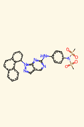 CS(=O)(=O)N(c1ccc(Nc2ncc3cnn(-c4cccc5ccc6ccccc6c45)c3n2)cc1)S(C)(=O)=O